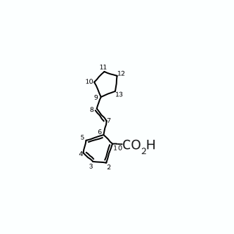 O=C(O)c1ccccc1C=CC1CCCC1